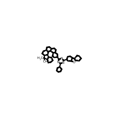 CC1(C)c2ccccc2-c2c1ccc1ccc3ccc4cc(-c5nc(-c6ccccc6)nc(-c6ccc7c(c6)oc6ccccc67)n5)ccc4c3c21